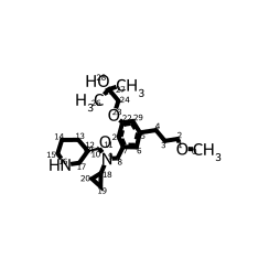 COCCCc1cc(CN(C(=O)[C@@H]2CCCNC2)C2CC2)cc(OCC(C)(C)O)c1